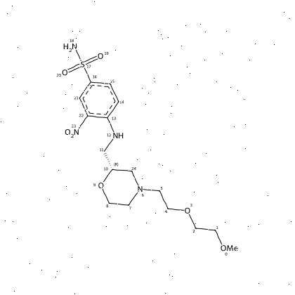 COCCOCCN1CCO[C@H](CNc2ccc(S(N)(=O)=O)cc2[N+](=O)[O-])C1